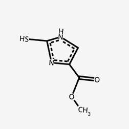 COC(=O)c1c[nH]c(S)n1